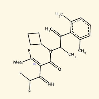 C=C(c1c(C)cccc1C)C(C)N(C(=O)/C(C(=N)C(F)F)=C(\F)NC)C1CCC1